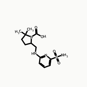 CC1(C)CCC(CNc2cccc(S(N)(=O)=O)n2)N1C(=O)O